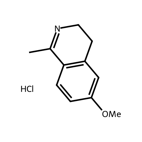 COc1ccc2c(c1)CCN=C2C.Cl